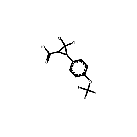 O=C(O)C1C(c2ccc(OC(F)(F)F)cc2)C1(Cl)Cl